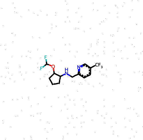 FC(F)OC1CCCC1NCc1ccc(C(F)(F)F)cn1